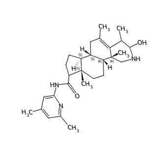 CC1=C2C(C)C(O)NC[C@]2(C)[C@@H]2CC[C@]3(C)C(C(=O)Nc4cc(C)cc(C)n4)CC[C@H]3[C@@H]2C1